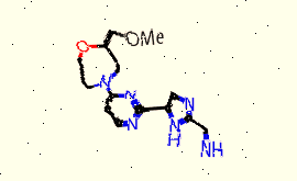 COCC1CN(c2ccnc(-c3cnc(C=N)[nH]3)n2)CCO1